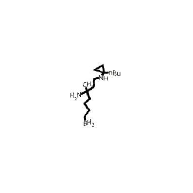 BCCCCC(C)(N)CCNC1(CCCC)CC1